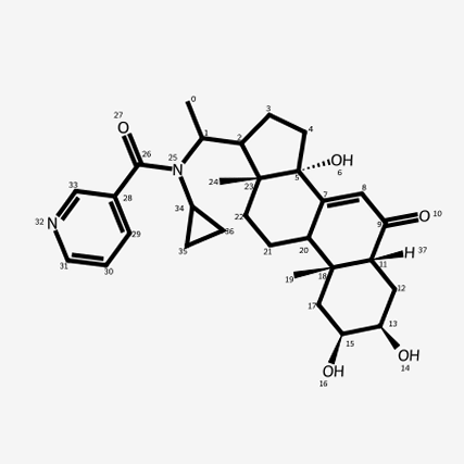 CC(C1CC[C@@]2(O)C3=CC(=O)[C@@H]4C[C@@H](O)[C@@H](O)C[C@]4(C)C3CC[C@]12C)N(C(=O)c1cccnc1)C1CC1